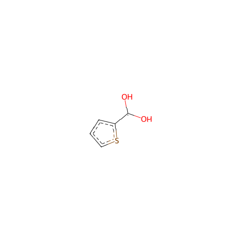 O[C](O)c1cccs1